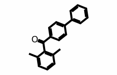 Cc1cccc(C)c1C(=O)c1ccc(-c2ccccc2)cc1